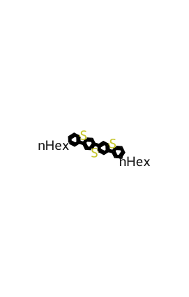 CCCCCCc1ccc2sc3cc4c(cc3c2c1)sc1cc2c(cc14)sc1ccc(CCCCCC)cc12